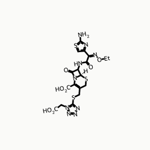 CCO/N=C(\C(=O)NC1C(=O)N2C(C(=O)O)=C(CSc3nnnn3CC(=O)O)CS[C@H]12)c1csc(N)n1